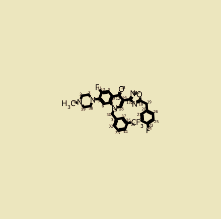 CN1CCN(c2cc3c(cc2F)c(=O)c(-c2noc(Cc4ccc(F)cc4)n2)cn3Cc2cccc(C(F)(F)F)c2)CC1